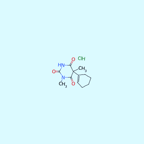 CN1C(=O)NC(=O)C(C)(C2=CCCCC2)C1=O.Cl